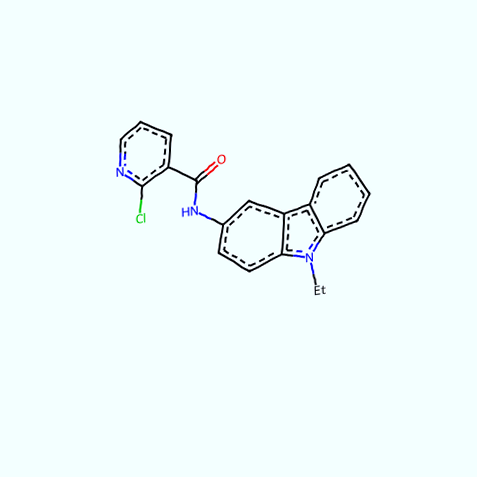 CCn1c2ccccc2c2cc(NC(=O)c3cccnc3Cl)ccc21